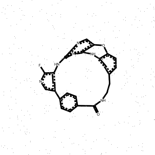 O=C1NCCc2ccc3c(c2)Nc2nc(ncc2O3)Nc2cc(cnc2F)-c2ccc1cc2